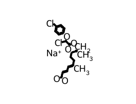 C=C(C)C(CCC(C)=CC=CC(=O)[O-])OC(=O)C(Cl)Oc1ccc(Cl)cc1.[Na+]